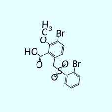 COc1c(Br)ccc(CS(=O)(=O)c2ccccc2Br)c1C(=O)O